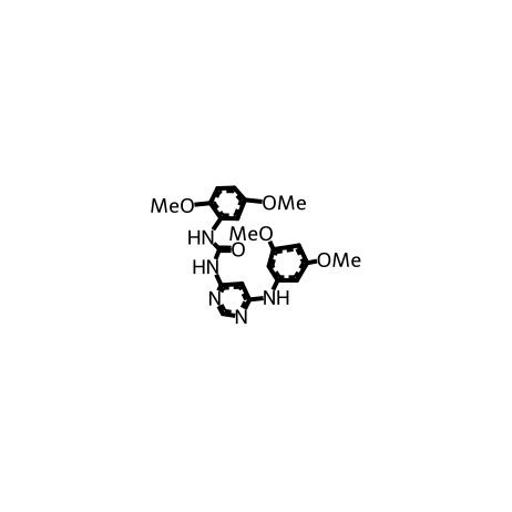 COc1cc(Nc2cc(NC(=O)Nc3cc(OC)ccc3OC)ncn2)cc(OC)c1